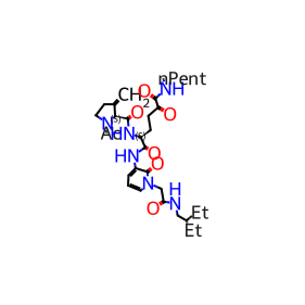 C=C1CCN(C(C)=O)[C@@H]1C(=O)N[C@@H](CCC(=O)C(=O)NCCCCC)C(=O)Nc1cccn(CC(=O)NCC(CC)CC)c1=O